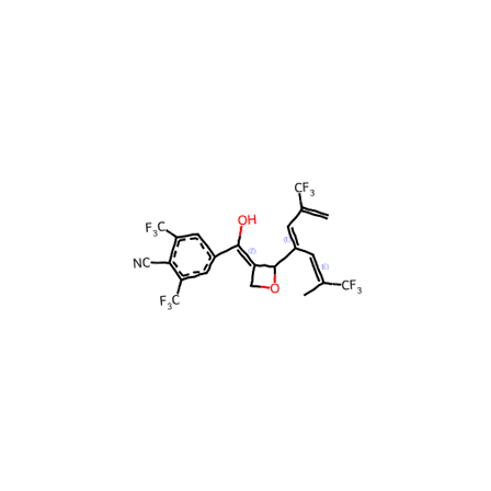 C=C(/C=C(\C=C(/C)C(F)(F)F)C1OC/C1=C(/O)c1cc(C(F)(F)F)c(C#N)c(C(F)(F)F)c1)C(F)(F)F